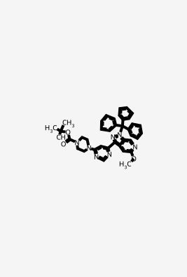 COc1cc2c(-c3cc(N4CCN(C(=O)OC(C)(C)C)CC4)ncn3)nn(C(c3ccccc3)(c3ccccc3)c3ccccc3)c2cn1